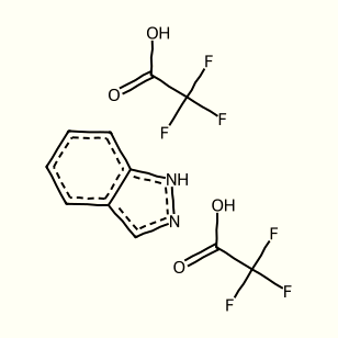 O=C(O)C(F)(F)F.O=C(O)C(F)(F)F.c1ccc2[nH]ncc2c1